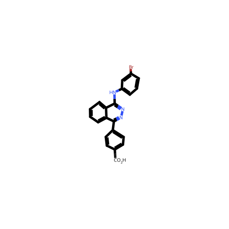 O=C(O)c1ccc(-c2nnc(Nc3cccc(Br)c3)c3ccccc23)cc1